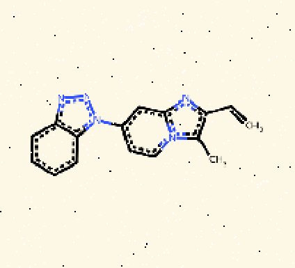 C=Cc1nc2cc(-n3nnc4ccccc43)ccn2c1C